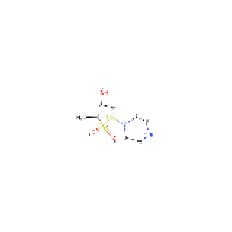 CCS(=O)(=O)[SH](CCO)N1CCNCC1